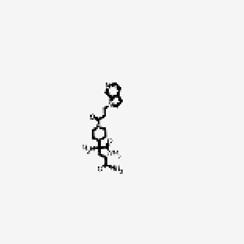 NC(=O)CCC(N)(C(N)=O)C1CCN(C(=O)CCn2ccc3ccncc32)CC1